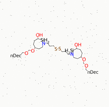 CCCCCCCCCCCOCOC1CCC(O)[SiH2]N(CCCSSCCCN2CCC(OCOCCCCCCCCCCC)CCC(O)[SiH2]2)CC1